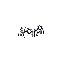 O=C1Nc2ccccc2/C1=C/Nc1ccc(N2CCOCC2)c(C(=O)O)c1